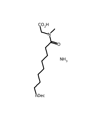 CCCCCCCCCCCCCCCCCC(=O)N(C)CC(=O)O.N